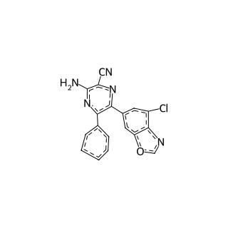 N#Cc1nc(-c2cc(Cl)c3ncoc3c2)c(-c2ccccc2)nc1N